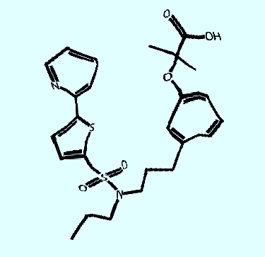 CCCN(CCCc1cccc(OC(C)(C)C(=O)O)c1)S(=O)(=O)c1ccc(-c2ccccn2)s1